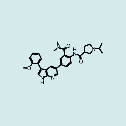 COc1ccccc1-c1c[nH]c2ncc(-c3ccc(NC(=O)C4CCN(C(C)C)C4)c(C(=O)N(C)C)c3)cc12